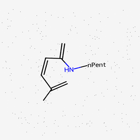 C=C(C)/C=C\C(=C)NCCCCC